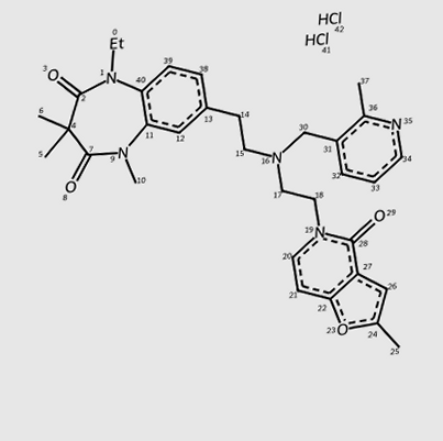 CCN1C(=O)C(C)(C)C(=O)N(C)c2cc(CCN(CCn3ccc4oc(C)cc4c3=O)Cc3cccnc3C)ccc21.Cl.Cl